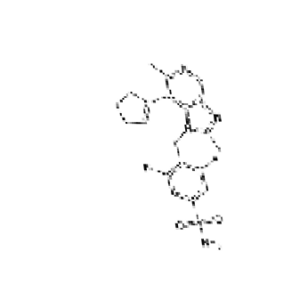 Cc1ncc2nc(C)n(Cc3c(F)cc(S(N)(=O)=O)cc3F)c2c1C1=CCCC1